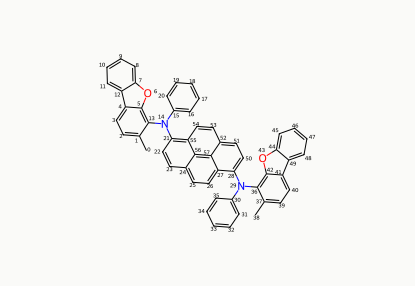 Cc1ccc2c(oc3ccccc32)c1N(c1ccccc1)c1ccc2ccc3c(N(c4ccccc4)c4c(C)ccc5c4oc4ccccc45)ccc4ccc1c2c43